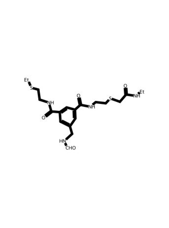 CCNC(=O)CSCCNC(=O)c1cc(CNC=O)cc(C(=O)NCCSCC)c1